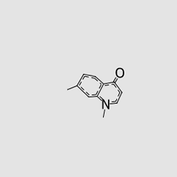 Cc1ccc2c(=O)ccn(C)c2c1